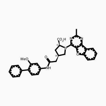 COc1cc(NC(=O)C[C@H]2C[C@@H](C(=O)O)N(c3nc(C)nc4c3oc3ccccc34)C2)ccc1-c1ccccc1